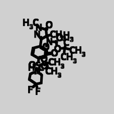 CN1N=C(c2ccc(S(=O)(=O)N3CCC(F)(F)CC3)cc2)C(C)(N(OC(=O)OC(C)(C)C)C(=O)OC(C)(C)C)C1=O